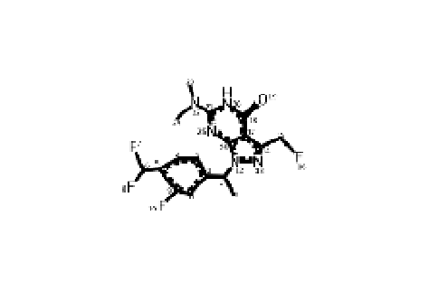 CC(c1ccc(C(F)F)c(F)c1)n1nc(CF)c2c(=O)[nH]c(N(C)C)nc21